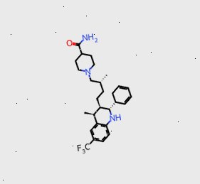 C[C@H](CC[C@@H]1[C@H](C)c2cc(C(F)(F)F)ccc2N[C@H]1C1C=CC=CC1)CN1CCC(C(N)=O)CC1